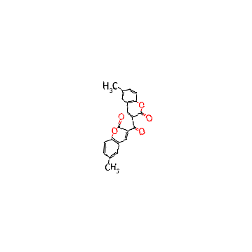 Cc1ccc2oc(=O)c(C(=O)c3cc4cc(C)ccc4oc3=O)cc2c1